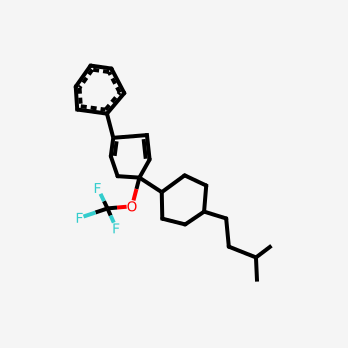 CC(C)CCC1CCC(C2(OC(F)(F)F)C=CC(c3ccccc3)=CC2)CC1